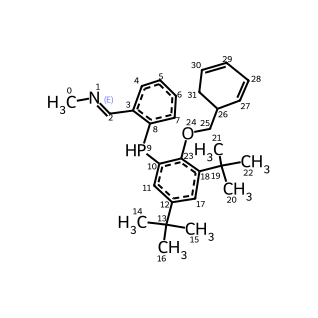 C/N=C/c1ccccc1Pc1cc(C(C)(C)C)cc(C(C)(C)C)c1OCC1C=CC=CC1